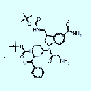 CC(C)(C)OC(=O)N1CCC(OC(=O)CN)CC1C(=O)c1ccccc1.CC(C)(C)OC(=O)NCC1CCc2ccc(C(N)=O)cc21